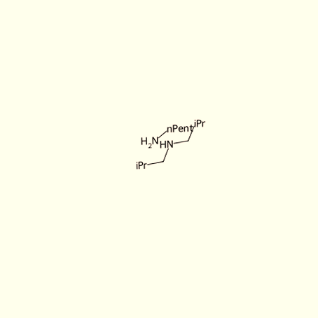 CC(C)CNCC(C)C.CCCCCN